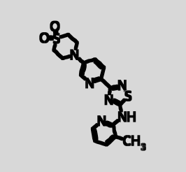 Cc1cccnc1Nc1nc(-c2ccc(N3CCS(=O)(=O)CC3)cn2)ns1